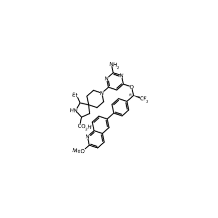 CCC1NC(C(=O)O)CC12CCN(c1cc(O[C@H](c3ccc(-c4ccc5nc(OC)ccc5c4)cc3)C(F)(F)F)nc(N)n1)CC2